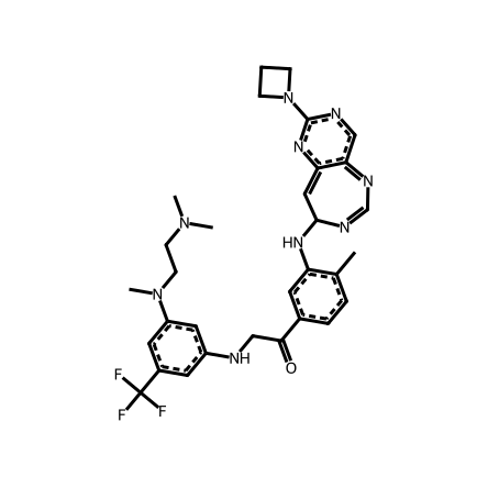 Cc1ccc(C(=O)CNc2cc(N(C)CCN(C)C)cc(C(F)(F)F)c2)cc1NC1C=c2nc(N3CCC3)ncc2=NC=N1